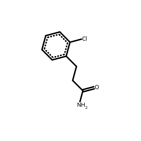 NC(=O)CCc1ccccc1Cl